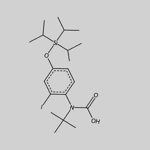 CC(C)[Si](Oc1ccc(N(C(=O)O)C(C)(C)C)c(I)c1)(C(C)C)C(C)C